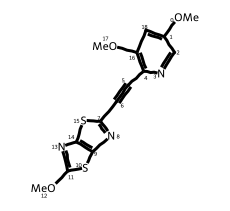 COc1cnc(C#Cc2nc3sc(OC)nc3s2)c(OC)c1